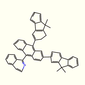 CC1(C)C2=C(C=C(c3c4ccccc4c(-c4nccc5ccccc45)c4ccc(-c5ccc6c(c5)C(C)(C)c5ccccc5-6)cc34)CC2)c2ccccc21